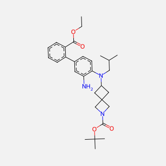 CCOC(=O)c1ccccc1-c1ccc(N(CC(C)C)C2CC3(C2)CN(C(=O)OC(C)(C)C)C3)c(N)c1